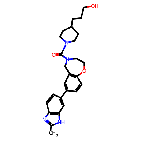 Cc1nc2ccc(-c3ccc4c(c3)CN(C(=O)N3CCC(CCCO)CC3)CCO4)cc2[nH]1